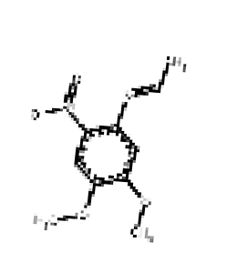 CC=Nc1cc(OC)c(OC)cc1[N+](=O)[O-]